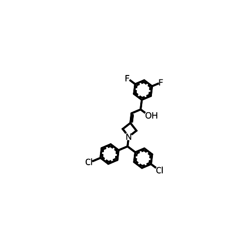 OC(C=C1CN(C(c2ccc(Cl)cc2)c2ccc(Cl)cc2)C1)c1cc(F)cc(F)c1